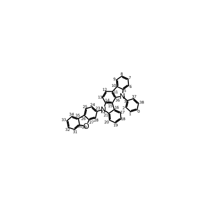 c1ccc(-n2c3ccccc3c3ccc4c(c5ccccc5n4-c4ccc5c(c4)oc4ccccc45)c32)cc1